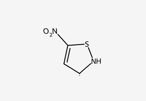 O=[N+]([O-])C1=C[CH]NS1